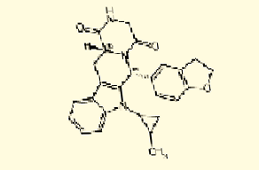 CC1CC1n1c2c(c3ccccc31)C[C@@H]1C(=O)NCC(=O)N1[C@@H]2c1ccc2c(c1)CCO2